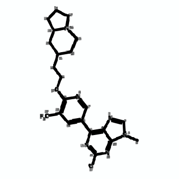 Cn1cnc2c(-c3cnc(OCCC4CCN5CCCC5C4)c(C(F)(F)F)c3)nc(Cl)nc21